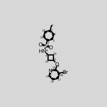 Cc1ccc(S(=O)(=O)NC2CC(Oc3ncccc3Br)C2)cc1